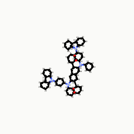 c1ccc(-c2cc3cc(N(c4ccccc4)c4ccc(-n5c6ccccc6c6ccccc65)cc4)c(-c4ccccc4)cc3cc2N(c2ccccc2)c2ccc(-n3c4ccccc4c4ccccc43)cc2)cc1